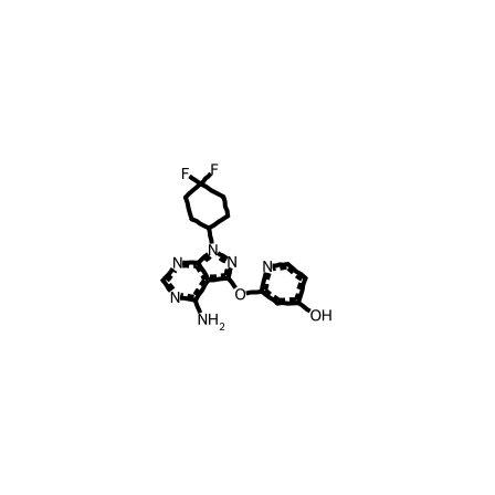 Nc1ncnc2c1c(Oc1cc(O)ccn1)nn2C1CCC(F)(F)CC1